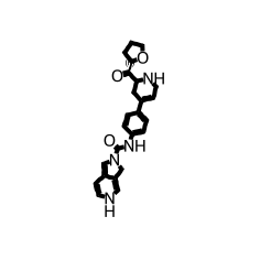 O=C(C1CC(c2ccc(NC(=O)N3C=C4C=CNC=C4C3)cc2)=CCN1)[C@H]1CCCO1